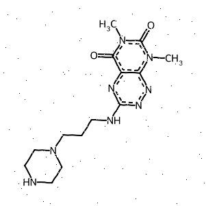 Cn1c(=O)c2nc(NCCCN3CCNCC3)nnc2n(C)c1=O